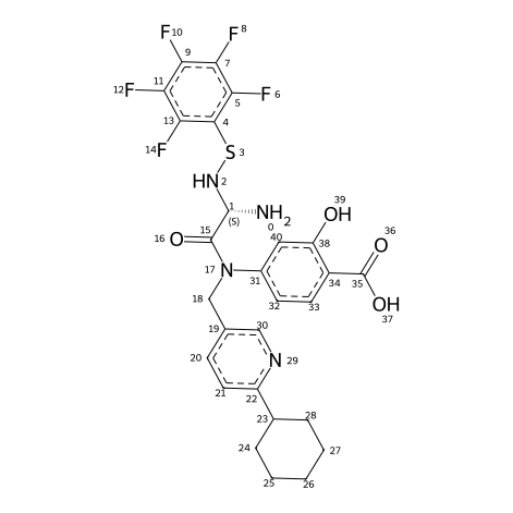 N[C@@H](NSc1c(F)c(F)c(F)c(F)c1F)C(=O)N(Cc1ccc(C2CCCCC2)nc1)c1ccc(C(=O)O)c(O)c1